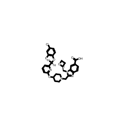 [2H]C([2H])(Oc1ccc(Cl)cc1F)c1cccc(OC2CCN(Cc3nc4ccc(C(=O)O)cc4n3C[C@@H]3CCO3)CC2)n1